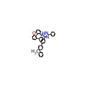 CC1(c2ccccc2)C=CC(c2ccc(C(=N/C(=N)c3ccccc3)/N=C/c3cccc4oc5cccc(C6C=CC=CC6)c5c34)cc2)=CC1